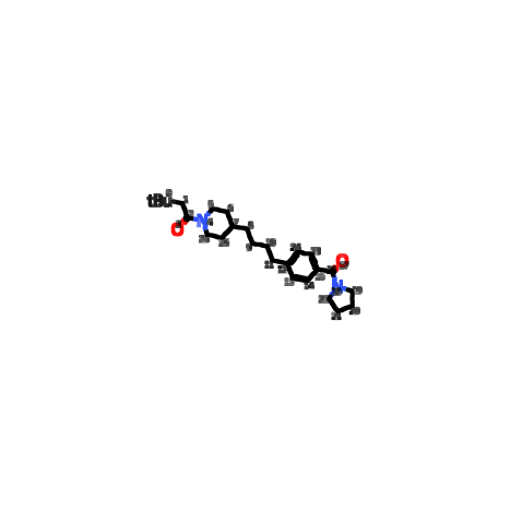 CC(C)(C)CC(=O)N1CCC(CCCCc2ccc(C(=O)N3CCCC3)cc2)CC1